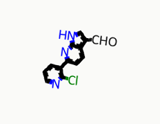 O=Cc1c[nH]c2nc(-c3cccnc3Cl)ccc12